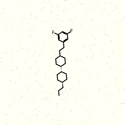 CCC[C@H]1CC[C@H](C2CCC(CCc3cc(F)cc(F)c3)CC2)CC1